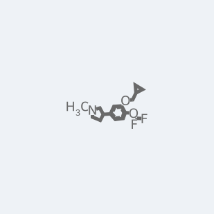 CN1CCC(c2ccc(OC(F)F)c(OCC3CC3)c2)C1